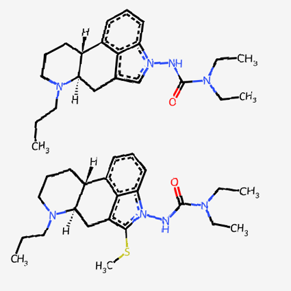 CCCN1CCC[C@@H]2c3cccc4c3c(c(SC)n4NC(=O)N(CC)CC)C[C@H]21.CCCN1CCC[C@@H]2c3cccc4c3c(cn4NC(=O)N(CC)CC)C[C@H]21